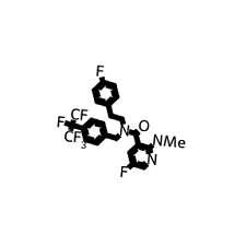 CNc1ncc(F)cc1C(=O)N(CCc1ccc(F)cc1)Cc1ccc(C(F)(C(F)(F)F)C(F)(F)F)cc1